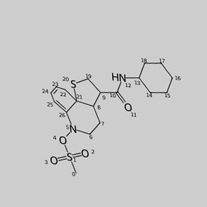 CS(=O)(=O)ON1CCC2C(C(=O)NC3CCCCC3)CSC23CC=CC=C13